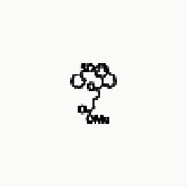 COC(=O)CCCC(=O)c1cccc2ccccc12.O=S(=O)(O)c1ccccc1